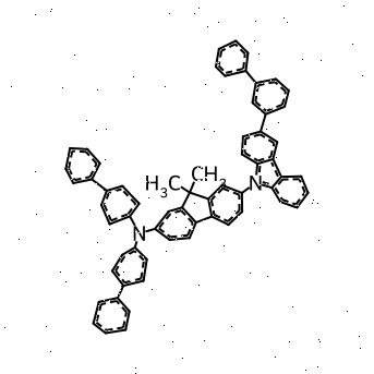 CC1(C)c2cc(N(c3ccc(-c4ccccc4)cc3)c3ccc(-c4ccccc4)cc3)ccc2-c2ccc(-n3c4ccccc4c4cc(-c5cccc(-c6ccccc6)c5)ccc43)cc21